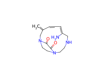 C=C1/C=C\C=C(/N)CNCCN2CCN(C1)C(=O)C2=O